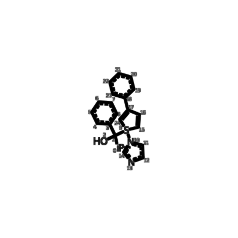 CC(C)C(O)(c1ccccc1)S1(n2ccnc2)C=CC(c2ccccc2)=C1